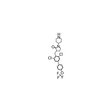 O=C1C(Cc2c(Cl)cc(-c3ccc(OC(F)(F)F)cc3)cc2Cl)CCN1C1CCNCC1